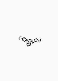 CC(C)N1CC[C@H](CN2CCN(c3ccc(F)cc3)c3ccccc32)C1